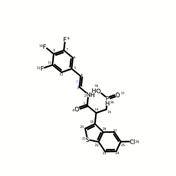 O=C(N/C=C/c1cc(F)c(F)c(F)c1)C(C[PH](=O)O)c1csc2ccc(Cl)cc12